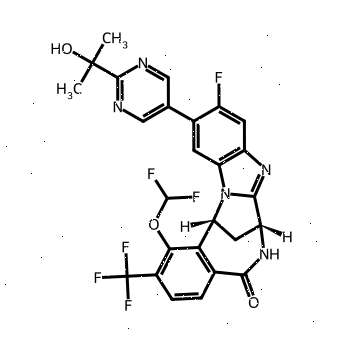 CC(C)(O)c1ncc(-c2cc3c(cc2F)nc2n3[C@@H]3C[C@H]2NC(=O)c2ccc(C(F)(F)F)c(OC(F)F)c23)cn1